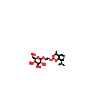 CC(C)c1cccc(C(C)C)c1OC(=O)OCCOC1OC(CO)[C@@H](O)C(O)[C@H]1O